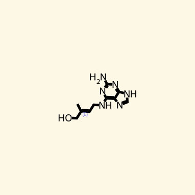 C/C(=C\CNc1nc(N)nc2[nH]cnc12)CO